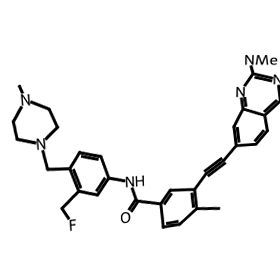 CNc1ncc2ccc(C#Cc3cc(C(=O)Nc4ccc(CN5CCN(C)CC5)c(CF)c4)ccc3C)cc2n1